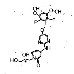 COc1cc(OC)c(F)c(COc2cnc(Nc3ccn(C[C@@H](O)CO)c(=O)c3)nc2)c1F